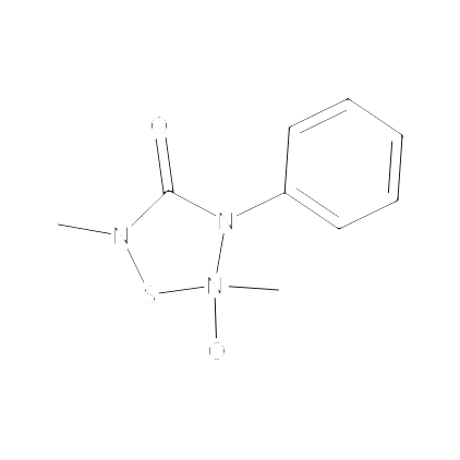 CN1S[N+](C)([O-])N(c2ccccc2)C1=O